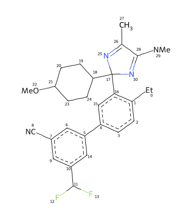 CCc1ccc(-c2cc(C#N)cc(C(F)F)c2)cc1C1(C2CCC(OC)CC2)N=C(C)C(NC)=N1